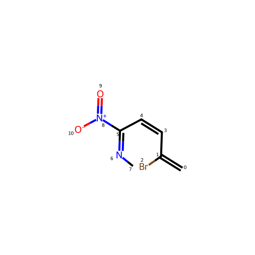 C=C(Br)/C=C\C(=N/C)[N+](=O)[O-]